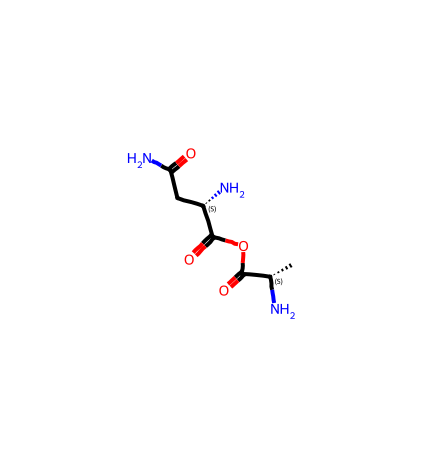 C[C@H](N)C(=O)OC(=O)[C@@H](N)CC(N)=O